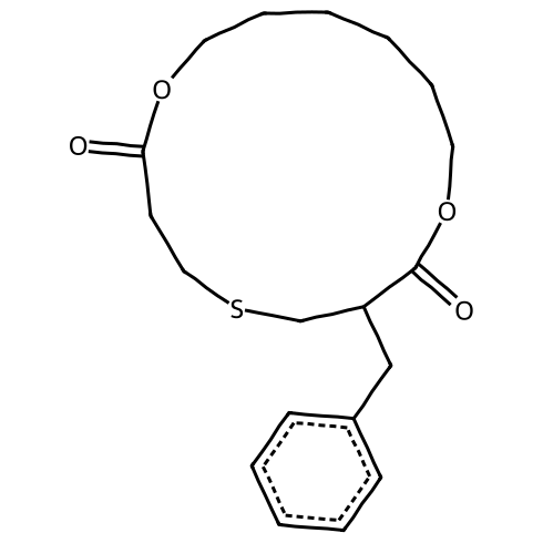 O=C1CCSCC(Cc2ccccc2)C(=O)OCCCCCCO1